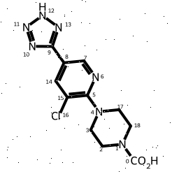 O=C(O)N1CCN(c2ncc(-c3nn[nH]n3)cc2Cl)CC1